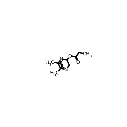 CCC(=O)OC1CN2CCN1C(C)=C2C